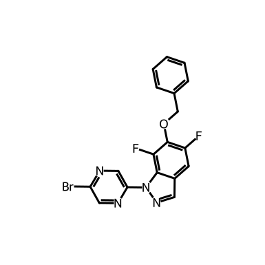 Fc1cc2cnn(-c3cnc(Br)cn3)c2c(F)c1OCc1ccccc1